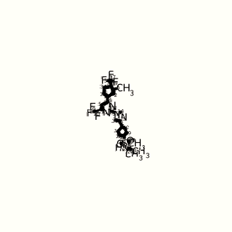 Cc1cc(-c2cc(C(F)(F)F)nc(-n3cnc(-c4ccc(S(=O)(=O)NC(C)(C)C)cc4)c3)n2)ccc1C(F)(F)F